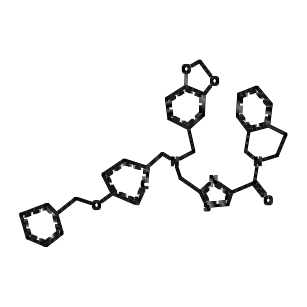 O=C(c1csc(CN(Cc2ccc(OCc3ccccc3)cc2)Cc2ccc3c(c2)OCO3)n1)N1CCc2ccccc2C1